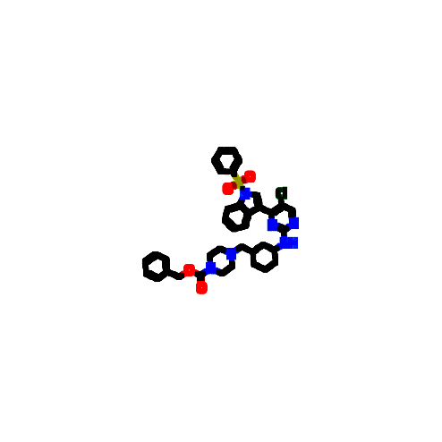 O=C(OCc1ccccc1)N1CCN(C[C@@H]2CCC[C@H](Nc3ncc(Cl)c(-c4cn(S(=O)(=O)c5ccccc5)c5ccccc45)n3)C2)CC1